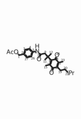 CC(=O)OCc1ccc(NC(=O)CC(C)(C)C2=C(C)C(=O)C(CCC(C)C)=C(C)C2=O)cc1